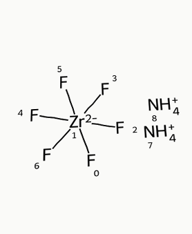 [F][Zr-2]([F])([F])([F])([F])[F].[NH4+].[NH4+]